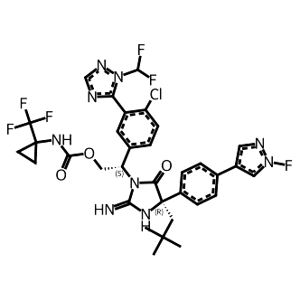 CC(C)(C)C[C@]1(c2ccc(-c3cnn(F)c3)cc2)NC(=N)N([C@H](COC(=O)NC2(C(F)(F)F)CC2)c2ccc(Cl)c(-c3ncnn3C(F)F)c2)C1=O